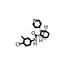 Cc1cc(NC(=O)[C@H]2[C@H](c3ccncc3)[C@H]3CC[C@@H]2O3)ccc1Cl